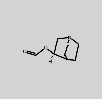 O=CO[C@H]1CN2CCC1CC2